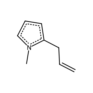 C=CCc1cccn1C